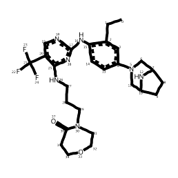 CCc1cc(N2CC3CCC(C2)N3)ccc1Nc1ncc(C(F)(F)F)c(NCCCN2CCOCCC2=O)n1